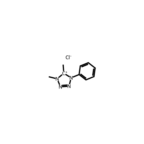 C[c+]1n(C)nnn1-c1ccccc1.[Cl-]